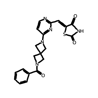 O=C1NC(=O)C(=Cc2nccc(N3CC4(CN(C(=O)c5ccccc5)C4)C3)n2)S1